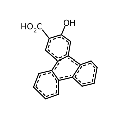 O=C(O)c1cc2c3ccccc3c3ccccc3c2cc1O